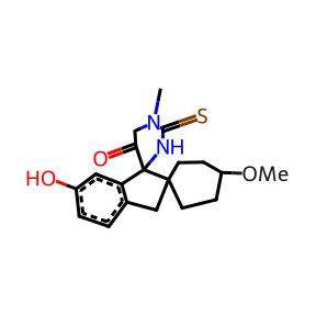 COC1CCC2(CC1)Cc1ccc(O)cc1C21NC(=S)N(C)CC1=O